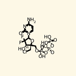 Nc1ccn(C2O[C@](CCl)(COP(=O)(O)OP(=O)(O)OP(=O)(O)O)[C@@H](O)C2(F)F)c(=O)n1